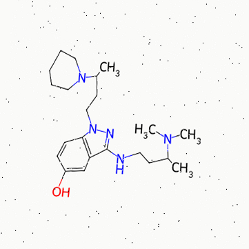 CC(CCNc1nn(CCC(C)N2CCCCC2)c2ccc(O)cc12)N(C)C